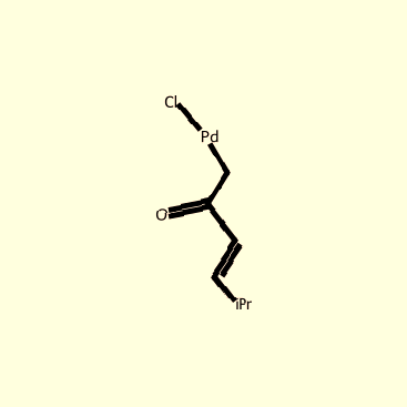 CC(C)C=CC(=O)[CH2][Pd][Cl]